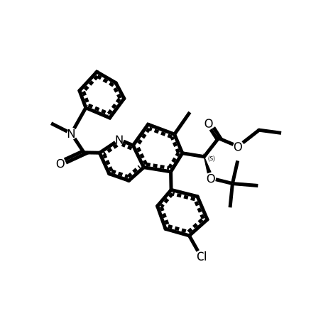 CCOC(=O)[C@@H](OC(C)(C)C)c1c(C)cc2nc(C(=O)N(C)c3ccccc3)ccc2c1-c1ccc(Cl)cc1